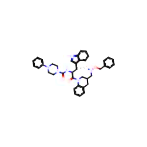 O=CN(CC1Cc2ccccc2N(C(=O)C(Cc2c[nH]c3ccccc23)NC(=O)N2CCN(c3ccccc3)CC2)C1)OCc1ccccc1